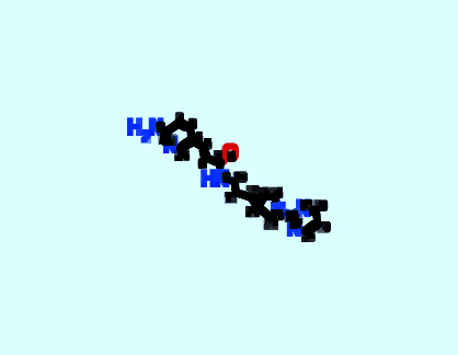 Nc1ccc(/C=C/C(=O)NCCC2C3CN(c4ncccn4)CC23)cn1